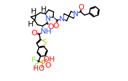 O=C(N[C@H]1C[C@@H]2C[C@@H]2C[C@H]2CC[C@@H](C(=O)N3CC4(CN(C(=O)Cc5ccccc5)C4)C3)N2C1=O)c1cc2cc(C(F)(F)P(=O)(O)O)ccc2s1